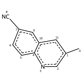 Cc1cnc2ccc(C#N)cc2c1